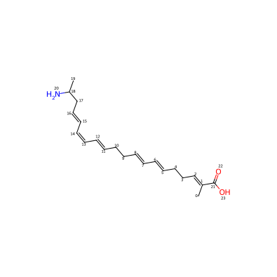 C/C(=C\CC/C=C/C=C/CC/C=C/C=C\C=C\CC(C)N)C(=O)O